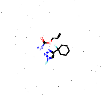 C=CCOC(N)=O.Fn1cc(C2(F)CCCCC2)nn1